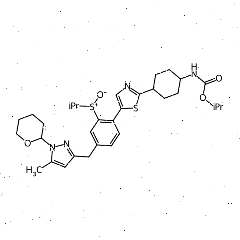 Cc1cc(Cc2ccc(-c3cnc(C4CCC(NC(=O)OC(C)C)CC4)s3)c([S+]([O-])C(C)C)c2)nn1C1CCCCO1